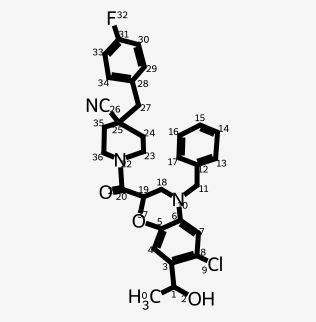 CC(O)c1cc2c(cc1Cl)N(Cc1ccccc1)CC(C(=O)N1CCC(C#N)(Cc3ccc(F)cc3)CC1)O2